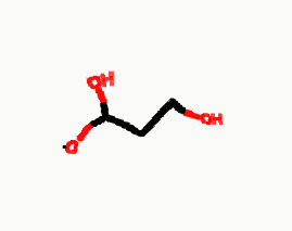 [O]C(O)CCO